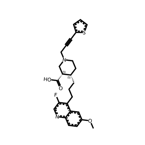 COc1ccc2ncc(F)c(CCC[C@H]3CCN(CC#Cc4cccs4)C[C@H]3C(=O)O)c2c1